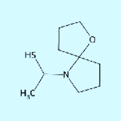 CC(S)N1CCCC12CCCO2